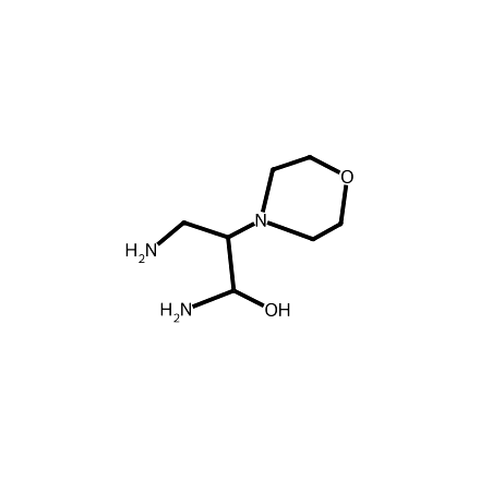 NCC(C(N)O)N1CCOCC1